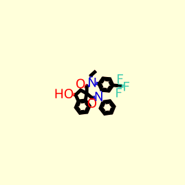 CCN1C(=O)C2(CC(O)c3ccccc32)C(=O)N(c2ccccc2)c2cc(C(F)(F)F)ccc21